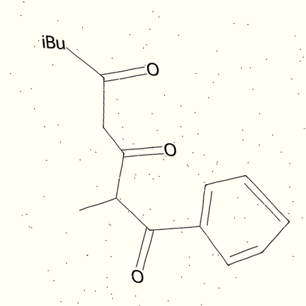 CCC(C)C(=O)CC(=O)C(C)C(=O)c1ccccc1